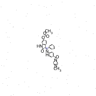 COC(=O)Oc1ccc2c(c1)NC(=O)/C2=C(\Nc1ccc(C(=O)N2CC3CC2CN3C)cc1)c1ccccc1